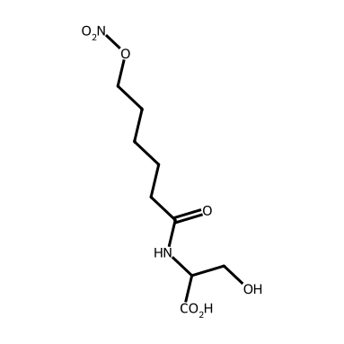 O=C(CCCCCO[N+](=O)[O-])NC(CO)C(=O)O